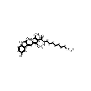 Cc1[nH]c(C=C2C(=O)Nc3ccc(F)cc32)c(C)c1C(=O)NCCCCCCCC(=O)O